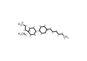 CCCCCCC1CCC([C@H]2CC[C@](CC)(CCC)CC2)CC1